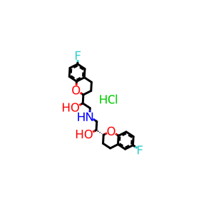 Cl.OC(CNCC(O)[C@H]1CCc2cc(F)ccc2O1)C1CCc2cc(F)ccc2O1